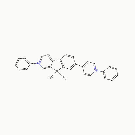 CC1(C)c2cc(-c3cc[n+](-c4ccccc4)cc3)ccc2-c2cc[n+](-c3ccccc3)cc21